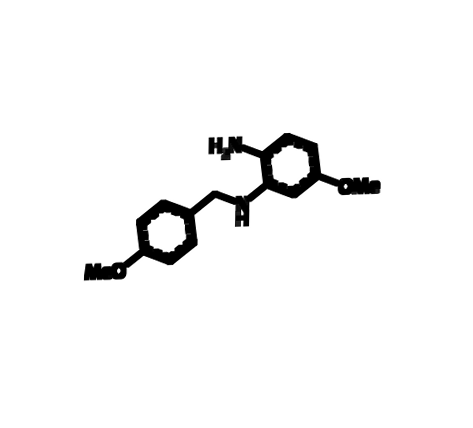 COc1ccc(CNc2cc(OC)ccc2N)cc1